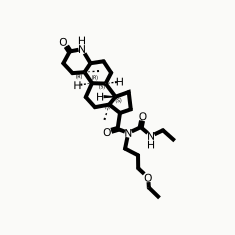 CCNC(=O)N(CCCOCC)C(=O)C1CC[C@H]2[C@@H]3CCC4NC(=O)CC[C@]4(C)[C@@H]3CC[C@]12C